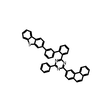 c1ccc(-c2nc(-c3ccc4ccc5ccccc5c4c3)nc(-c3ccccc3-c3cccc(-c4ccc5c(c4)sc4ccccc45)c3)n2)cc1